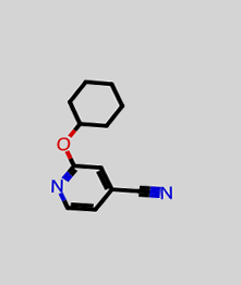 N#Cc1ccnc(OC2CCCCC2)c1